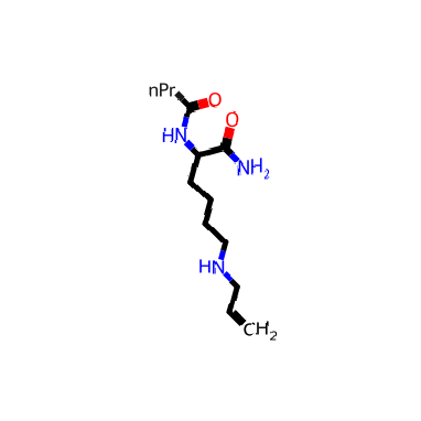 C=CCNCCCCC(NC(=O)CCC)C(N)=O